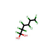 OC(O)(F)C(F)(F)C(Cl)C(Cl)C(F)C(F)F